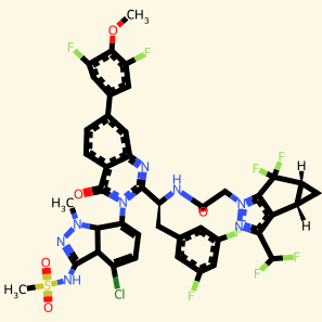 COc1c(F)cc(-c2ccc3c(=O)n(C4=CC=C(Cl)C5C(NS(C)(=O)=O)=NN(C)C45)c([C@H](Cc4cc(F)cc(F)c4)NC(=O)Cn4nc(C(F)F)c5c4C(F)(F)[C@@H]4C[C@H]54)nc3c2)cc1F